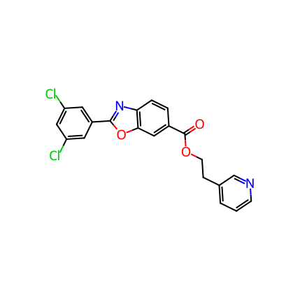 O=C(OCCc1cccnc1)c1ccc2nc(-c3cc(Cl)cc(Cl)c3)oc2c1